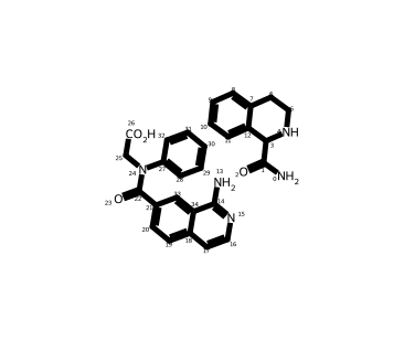 NC(=O)C1NCCc2ccccc21.Nc1nccc2ccc(C(=O)N(CC(=O)O)c3ccccc3)cc12